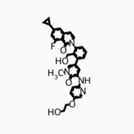 Cn1cc(-c2cccc(-n3ccc4cc(C5CC5)cc(F)c4c3=O)c2CO)cc(Nc2ccc(OCCO)cn2)c1=O